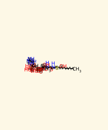 CCCCCCCCC[C@H](O)CCSCCNC(=O)CCNC(=O)C(O)C(C)(C)COP(=O)(O)OP(=O)(O)OC[C@H]1O[C@@H](n2cnc3c(N)ncnc32)[C@H](O)[C@@H]1OP(=O)(O)O